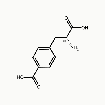 N[C@H](Cc1ccc(C(=O)O)cc1)C(=O)O